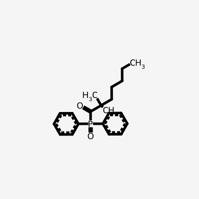 CCCCCC(C)(C)C(=O)P(=O)(c1ccccc1)c1ccccc1